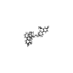 N#Cc1cc(F)ccc1C1CCN(CCCNC(=O)N2C(=O)CCCC2c2ccc(F)c(F)c2)CC1